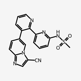 CS(=O)(=O)Nc1cccc(-c2ncccc2-c2ccc3ncc(C#N)n3c2)n1